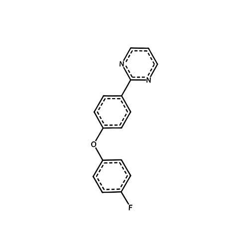 Fc1ccc(Oc2ccc(-c3ncccn3)cc2)cc1